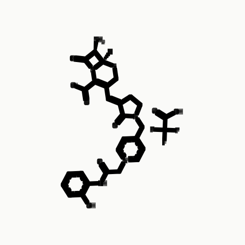 N[C@@H]1C(=O)N2C(C(=O)[O-])=C(/C=C3\CCN(Cc4cc[n+](CC(=O)Nc5ccccc5O)cc4)C3=O)CS[C@H]12.O=C(O)C(F)(F)F